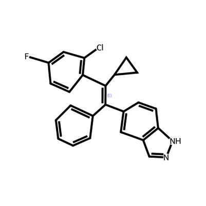 Fc1ccc(/C(=C(\c2ccccc2)c2ccc3[nH]ncc3c2)C2CC2)c(Cl)c1